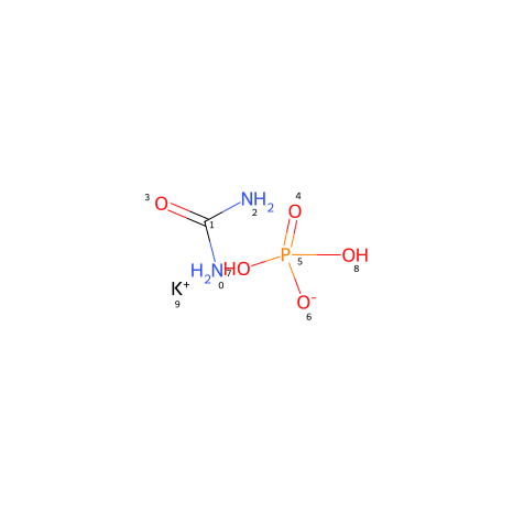 NC(N)=O.O=P([O-])(O)O.[K+]